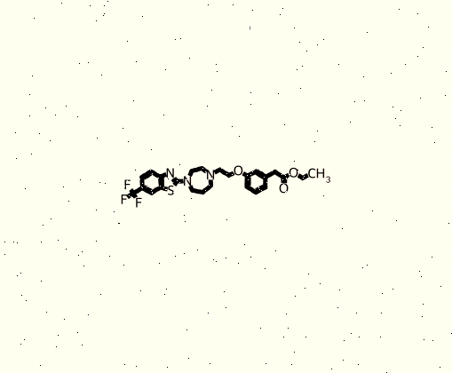 CCOC(=O)Cc1cccc(OCCN2CCCN(c3nc4ccc(C(F)(F)F)cc4s3)CC2)c1